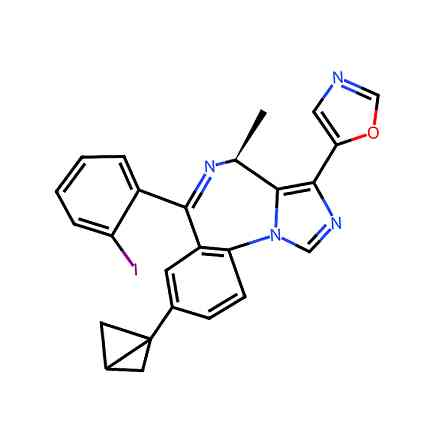 C[C@@H]1N=C(c2ccccc2I)c2cc(C34CC3C4)ccc2-n2cnc(-c3cnco3)c21